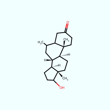 CC1C[C@@H]2[C@H](CC[C@]3(C)C(O)CC[C@@H]23)[C@@]2(C)CCC(=O)CC12